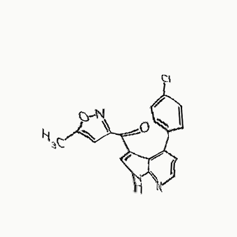 Cc1cc(C(=O)c2c[nH]c3nccc(-c4ccc(Cl)cc4)c23)no1